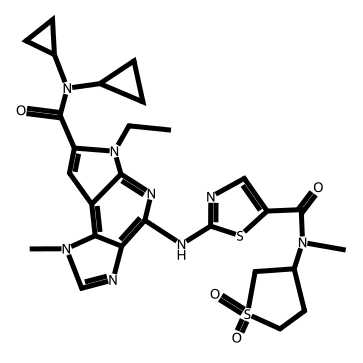 CCn1c(C(=O)N(C2CC2)C2CC2)cc2c3c(ncn3C)c(Nc3ncc(C(=O)N(C)C4CCS(=O)(=O)C4)s3)nc21